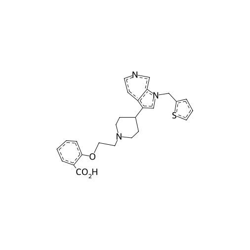 O=C(O)c1ccccc1OCCN1CCC(c2cn(Cc3cccs3)c3cnccc23)CC1